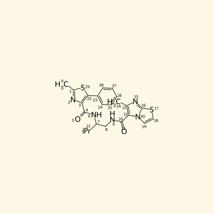 Cc1nc(C(=O)NC(CNC(=O)c2c(C)nc3sccn23)C(C)C)c(-c2ccccc2)s1